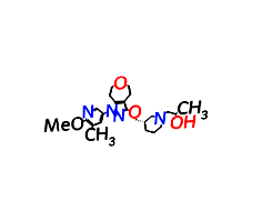 COc1ncc(-n2nc(OC[C@H]3CCCN(C[C@H](C)O)C3)c3c2CCOCC3)cc1C